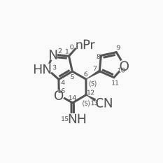 CCCc1n[nH]c2c1[C@@H](c1ccoc1)[C@@H](C#N)C(=N)O2